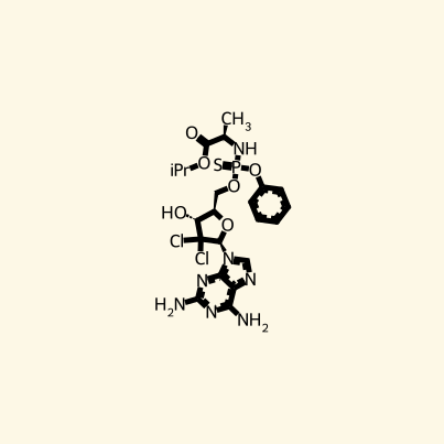 CC(C)OC(=O)[C@@H](C)NP(=S)(OC[C@H]1O[C@@H](n2cnc3c(N)nc(N)nc32)C(Cl)(Cl)[C@@H]1O)Oc1ccccc1